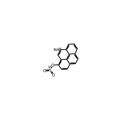 O=[SH](=O)Oc1ccc2ccc3cccc4ccc1c2c34.[NaH]